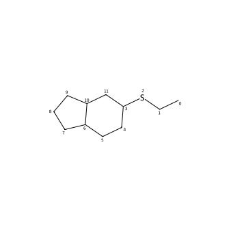 CCSC1CCC2CCCC2C1